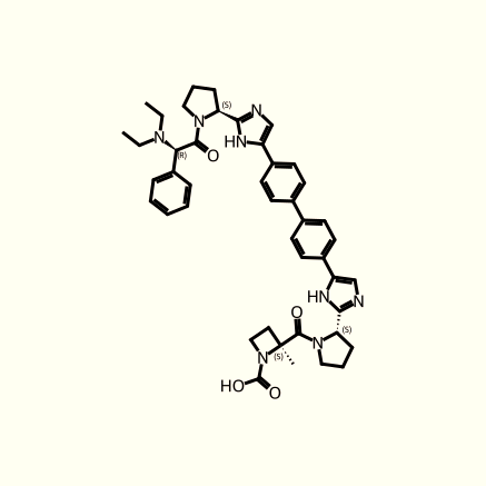 CCN(CC)[C@@H](C(=O)N1CCC[C@H]1c1ncc(-c2ccc(-c3ccc(-c4cnc([C@@H]5CCCN5C(=O)[C@]5(C)CCN5C(=O)O)[nH]4)cc3)cc2)[nH]1)c1ccccc1